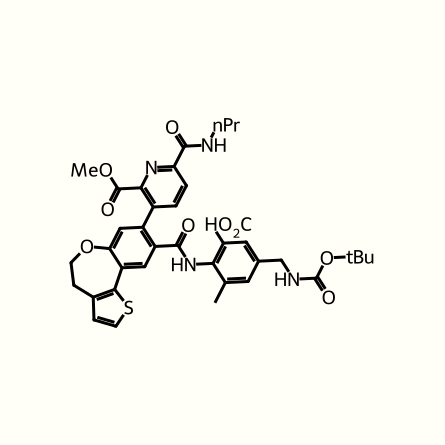 CCCNC(=O)c1ccc(-c2cc3c(cc2C(=O)Nc2c(C)cc(CNC(=O)OC(C)(C)C)cc2C(=O)O)-c2sccc2CCO3)c(C(=O)OC)n1